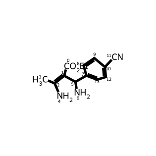 CCOC(=O)/C(=C(\C)N)C(N)c1ccc(C#N)cc1